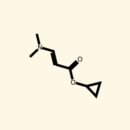 CN(C)/C=C/C(=O)OC1CC1